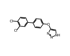 Clc1ccc(-c2ccc(Oc3c[nH]nn3)cc2)cc1Cl